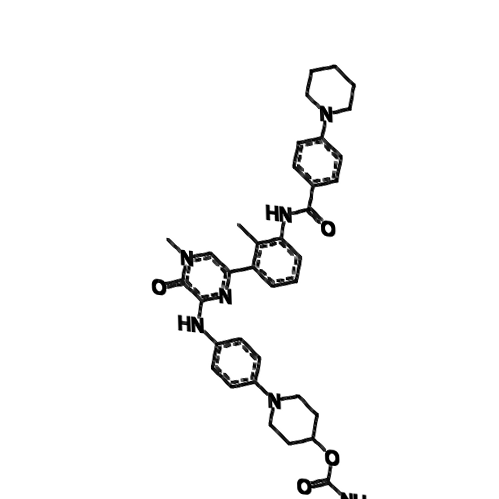 Cc1c(NC(=O)c2ccc(N3CCCCC3)cc2)cccc1-c1cn(C)c(=O)c(Nc2ccc(N3CCC(OC(N)=O)CC3)cc2)n1